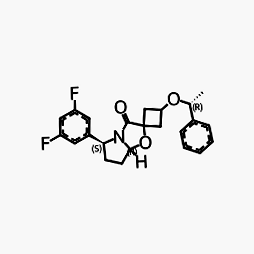 C[C@@H](OC1CC2(C1)O[C@@H]1CC[C@@H](c3cc(F)cc(F)c3)N1C2=O)c1ccccc1